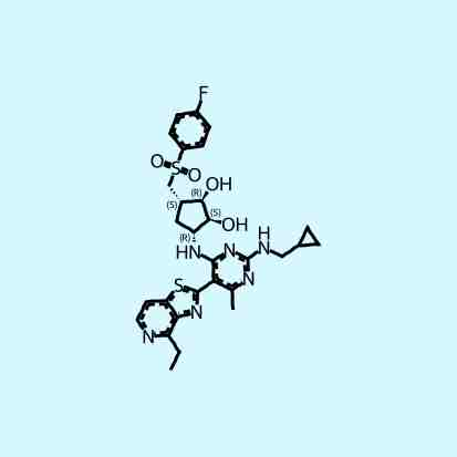 CCc1nccc2sc(-c3c(C)nc(NCC4CC4)nc3N[C@@H]3C[C@H](CS(=O)(=O)c4ccc(F)cc4)[C@@H](O)[C@H]3O)nc12